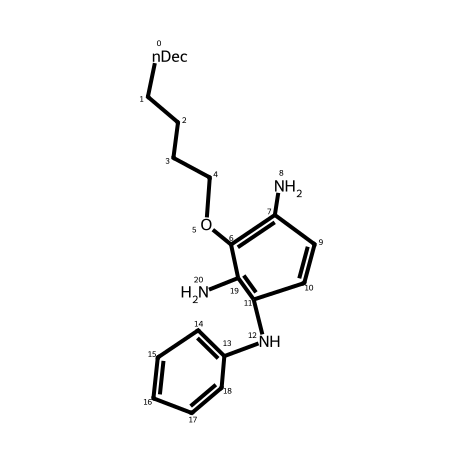 CCCCCCCCCCCCCCOc1c(N)ccc(Nc2ccccc2)c1N